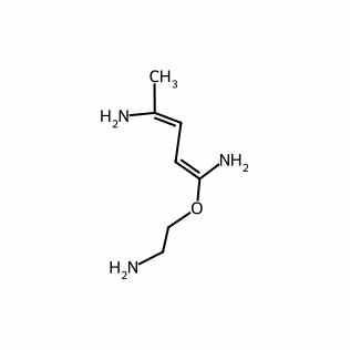 C/C(N)=C/C=C(\N)OCCN